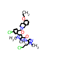 C=CCOc1cccc2c1CCN(C(=O)c1ccc(Cl)cc1-c1cc(C(=O)Nc3cnn(C)c3CCCCl)c(C)n1C)C2